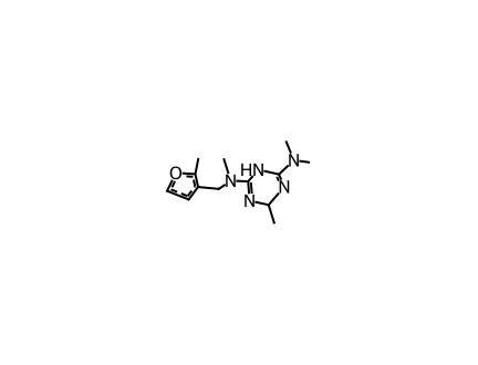 Cc1occc1CN(C)C1=NC(C)N=C(N(C)C)N1